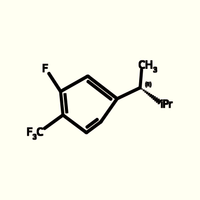 CC(C)[C@@H](C)c1ccc(C(F)(F)F)c(F)c1